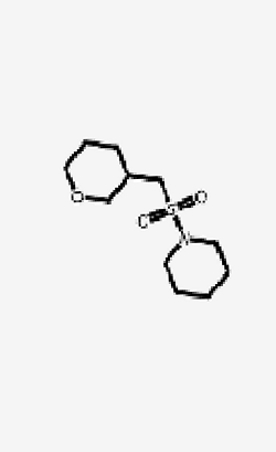 O=S(=O)(CC1CCCOC1)N1CCCCC1